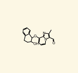 Cc1nc2c(OC3c4ccccc4CCC3O)cccn2c1C=O